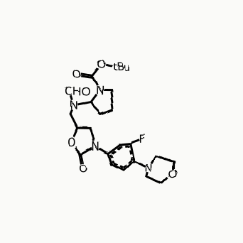 CC(C)(C)OC(=O)N1CCCC1N(C=O)CC1CN(c2ccc(N3CCOCC3)c(F)c2)C(=O)O1